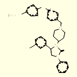 O=C(O)c1ccc(Oc2ccc(CN3CCC(N4C(=O)N(c5ccccc5)CC4c4cccc(Cl)c4)CC3)cn2)cc1